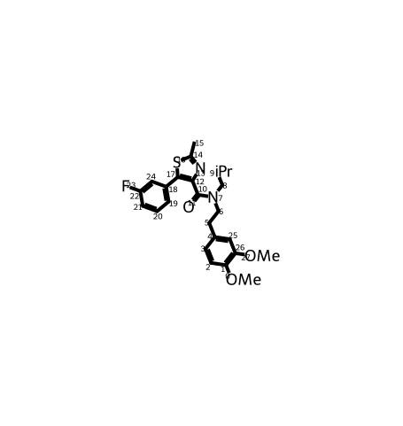 COc1ccc(CCN(CC(C)C)C(=O)c2nc(C)sc2-c2cccc(F)c2)cc1OC